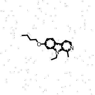 CCCCOc1ccc2c3ccnc(C)c3n(CC)c2c1